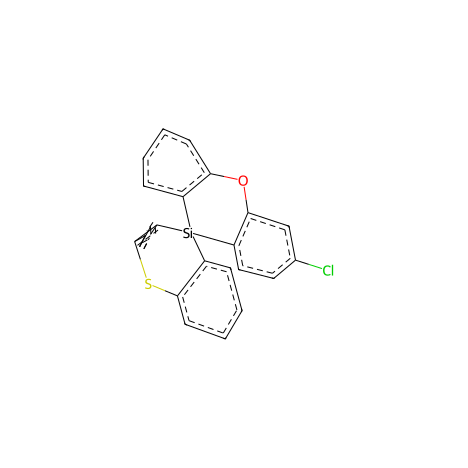 Clc1ccc2c(c1)Oc1ccccc1[Si]21c2ccccc2Sc2ccccc21